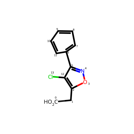 O=C(O)Cc1onc(-c2ccccc2)c1Cl